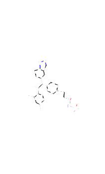 CC/C(=C(/c1ccc(C=CC(=O)NS(C)(=O)=O)cc1)c1ccc2[nH]ncc2c1)c1ccc(F)cc1Cl